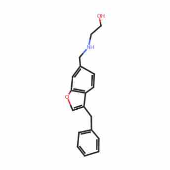 OCCNCc1ccc2c(Cc3ccccc3)coc2c1